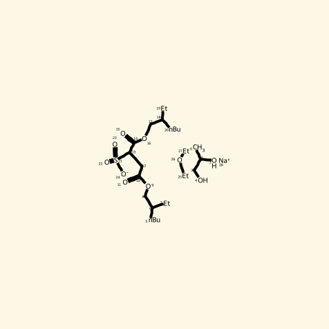 CC(O)CO.CCCCC(CC)COC(=O)CC(C(=O)OCC(CC)CCCC)S(=O)(=O)[O-].CCOCC.[Na+]